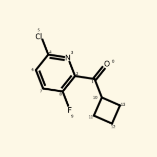 O=C(c1nc(Cl)ccc1F)C1CCC1